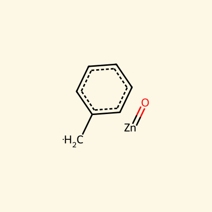 [CH2]c1ccccc1.[O]=[Zn]